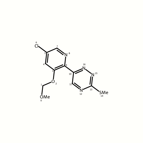 COCOc1cc(Cl)cnc1-c1cnc(SC)nn1